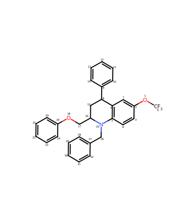 FC(F)(F)Oc1ccc2c(c1)C(c1ccccc1)CC(COc1ccccc1)N2Cc1ccccc1